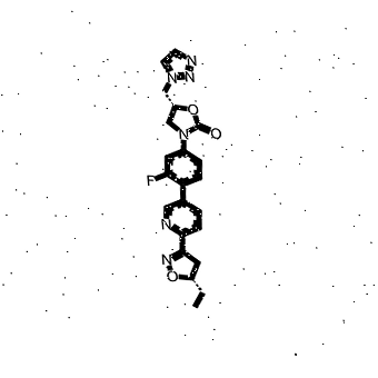 CC[C@H]1CC(c2ccc(-c3ccc(N4C[C@H](Cn5ccnn5)OC4=O)cc3F)cn2)=NO1